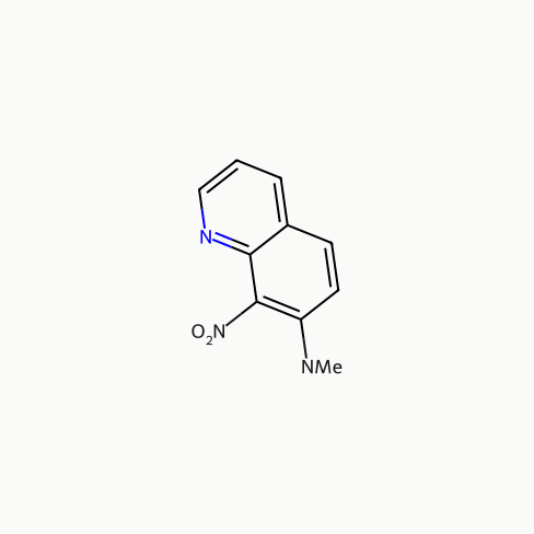 CNc1ccc2cccnc2c1[N+](=O)[O-]